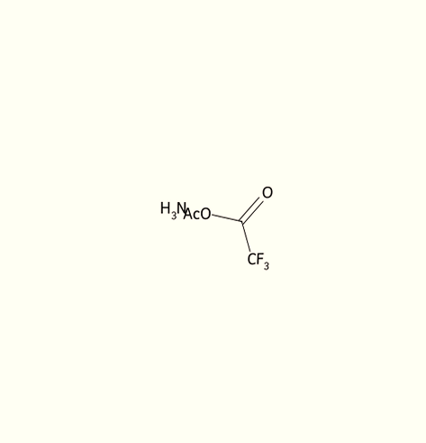 CC(=O)OC(=O)C(F)(F)F.N